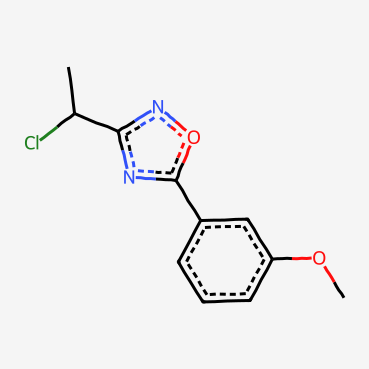 COc1cccc(-c2nc(C(C)Cl)no2)c1